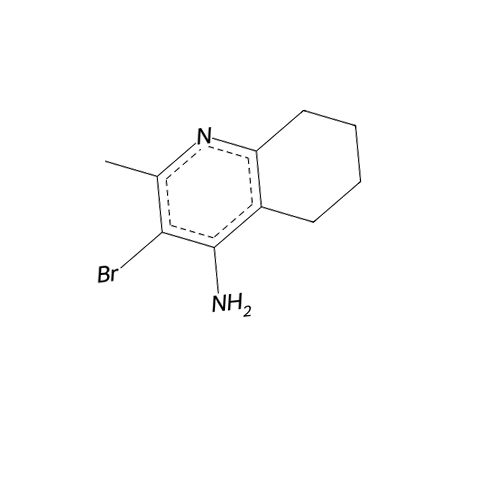 Cc1nc2c(c(N)c1Br)CCCC2